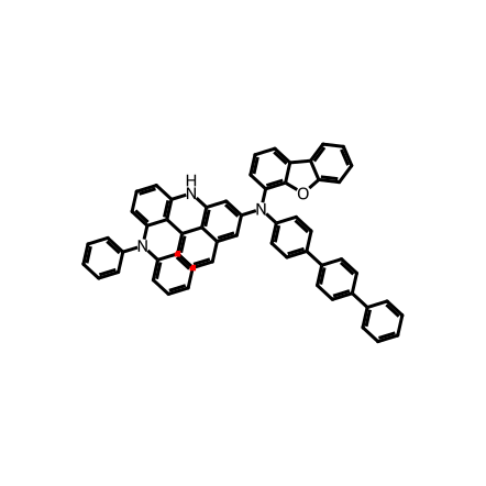 c1ccc(-c2ccc(-c3ccc(N(c4cc5c6c(cccc6c4)-c4c(cccc4N(c4ccccc4)c4ccccc4)N5)c4cccc5c4oc4ccccc45)cc3)cc2)cc1